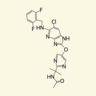 CC(=O)NC(C)(C)c1ncc(Oc2nc3nc(NCc4c(F)cccc4F)c(Cl)cc3[nH]2)cn1